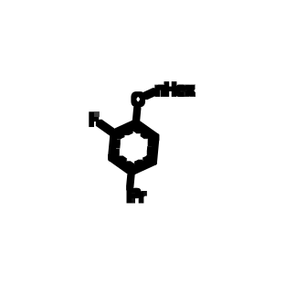 CCCCCCOc1ccc(C(C)C)cc1F